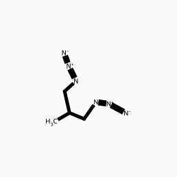 CC(CN=[N+]=[N-])CN=[N+]=[N-]